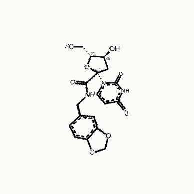 O=C(NCc1ccc2c(c1)OCO2)[C@]1(n2ccc(=O)[nH]c2=O)C[C@H](O)[C@@H](CO)O1